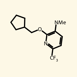 CNc1ccc(C(F)(F)F)nc1OCC1CCCC1